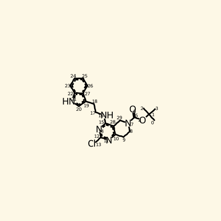 CC(C)(C)OC(=O)N1CCc2nc(Cl)nc(NCCc3c[nH]c4ccccc34)c2C1